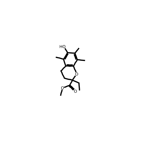 CCC1(C(=O)OC)CCc2c(C)c(O)c(C)c(C)c2O1